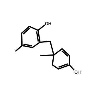 Cc1ccc(O)c(CC2(C)C=CC(O)=CC2)c1